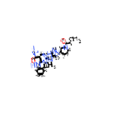 C=CC(=O)N1CCC[C@H](n2cc(Nc3ncc(C(N)=O)c(Nc4ccccc4C)n3)cn2)C1